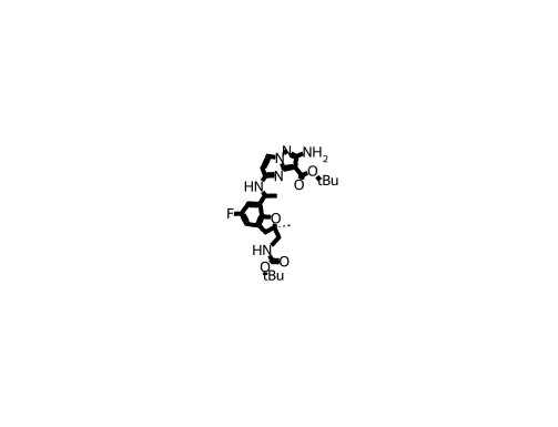 CC(Nc1ccn2nc(N)c(C(=O)OC(C)(C)C)c2n1)c1cc(F)cc2c1O[C@@](C)(CNC(=O)OC(C)(C)C)C2